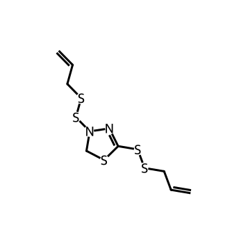 C=CCSSC1=NN(SSCC=C)CS1